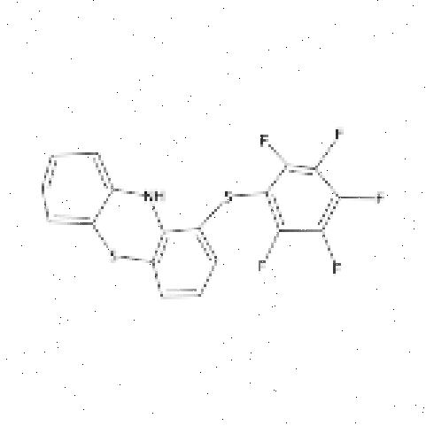 Fc1c(F)c(F)c(Sc2cccc3c2Nc2ccccc2S3)c(F)c1F